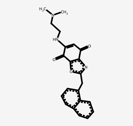 CN(C)CCNC1=CC(=O)c2nc(Cc3cccc4ccccc34)oc2C1=O